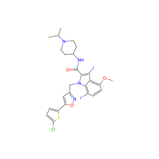 COc1ccc(I)c2c1c(I)c(C(=O)NC1CCN(C(C)C)CC1)n2Cc1cc(-c2ccc(Cl)s2)on1